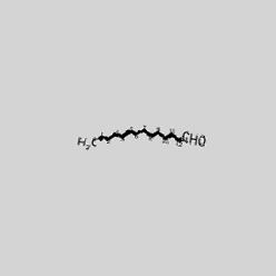 C=CC=CC=CCCCCCCCC=O